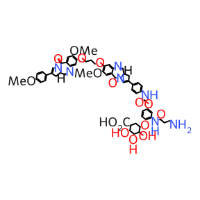 COc1ccc(C2=CN3C(=O)c4cc(OC)c(OCCCOc5cc6c(cc5OC)C(=O)N5C=C(c7ccc(NC(=O)Oc8ccc(O[C@@H]9CC(C(=O)O)[C@@H](O)C(O)C9O)c(NC(=O)CCN)c8)cc7)C[C@H]5C=N6)cc4N=C[C@@H]3C2)cc1